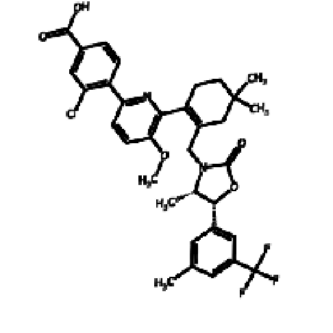 COc1ccc(-c2ccc(C(=O)O)cc2Cl)nc1C1=C(CN2C(=O)O[C@H](c3cc(C)cc(C(F)(F)F)c3)[C@@H]2C)CC(C)(C)CC1